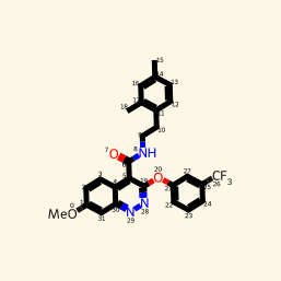 COc1ccc2c(C(=O)NCCc3ccc(C)cc3C)c(Oc3cccc(C(F)(F)F)c3)nnc2c1